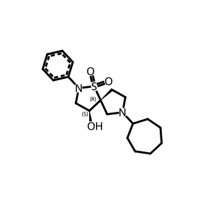 O=S1(=O)N(c2ccccc2)C[C@H](O)[C@]12CCN(C1CCCCCC1)C2